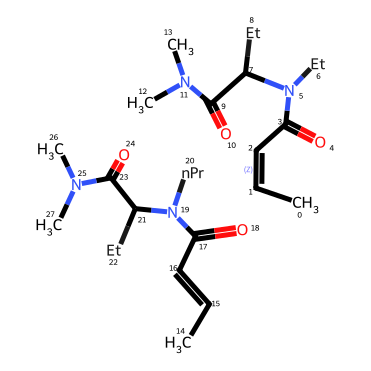 C/C=C\C(=O)N(CC)C(CC)C(=O)N(C)C.CC=CC(=O)N(CCC)C(CC)C(=O)N(C)C